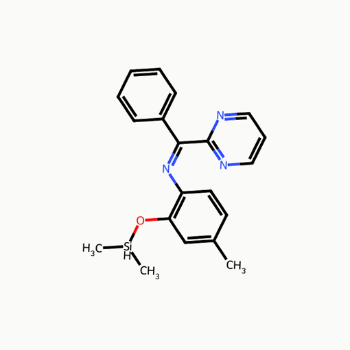 Cc1ccc(N=C(c2ccccc2)c2ncccn2)c(O[SiH](C)C)c1